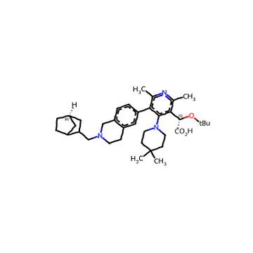 Cc1nc(C)c([C@H](OC(C)(C)C)C(=O)O)c(N2CCC(C)(C)CC2)c1-c1ccc2c(c1)CCN(CC1C[C@@H]3CCC1C3)C2